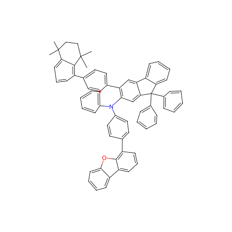 CC1(C)CCC(C)(C)c2c(-c3ccc(-c4cc5c(cc4N(c4ccccc4)c4ccc(-c6cccc7c6oc6ccccc67)cc4)C(c4ccccc4)(c4ccccc4)c4ccccc4-5)cc3)cccc21